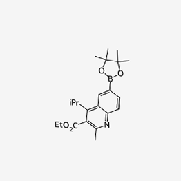 CCOC(=O)c1c(C)nc2ccc(B3OC(C)(C)C(C)(C)O3)cc2c1C(C)C